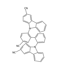 N#Cc1ccc(-n2c3ccccc3c3cc(C#N)ccc32)c(-c2ccccc2-n2c3ccccc3c3cc(C#N)ccc32)c1